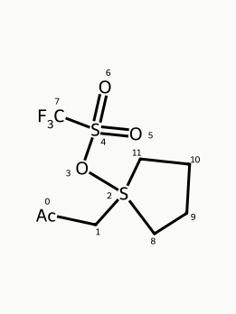 CC(=O)CS1(OS(=O)(=O)C(F)(F)F)CCCC1